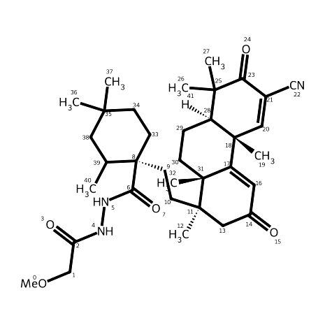 COCC(=O)NNC(=O)[C@]1(CC[C@]2(C)CC(=O)C=C3[C@@]4(C)C=C(C#N)C(=O)C(C)(C)[C@@H]4CC[C@]32C)CCC(C)(C)CC1C